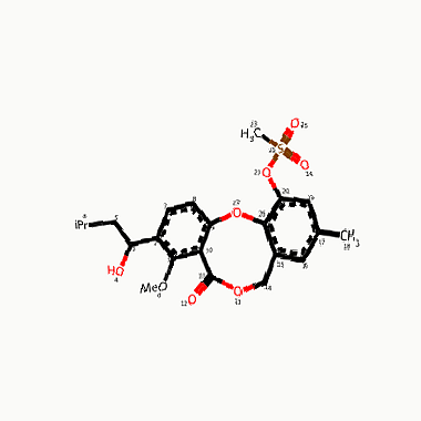 COc1c(C(O)CC(C)C)ccc2c1C(=O)OCc1cc(C)cc(OS(C)(=O)=O)c1O2